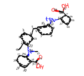 Cc1ccc(Cc2cccc(Nc3ccccc3C(=O)O)c2)cc1N(C)c1ccccc1C(=O)O